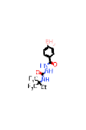 Bc1ccc(C(=O)NNC(=O)NC(CC)(C(F)(F)F)C(F)(F)F)cc1